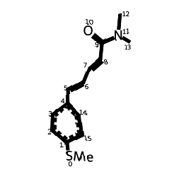 CSc1ccc(/C=C/C=C/C(=O)N(C)C)cc1